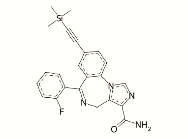 C[Si](C)(C)C#Cc1ccc2c(c1)C(c1ccccc1F)=NCc1c(C(N)=O)ncn1-2